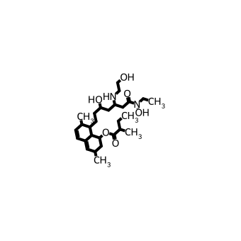 CCC(C)C(=O)OC1CC(C)C=C2C=CC(C)C(CCC(O)CC(CC(=O)N(O)CC)NCCO)C21